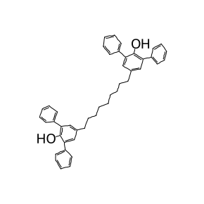 Oc1c(-c2ccccc2)cc(CCCCCCCCCc2cc(-c3ccccc3)c(O)c(-c3ccccc3)c2)cc1-c1ccccc1